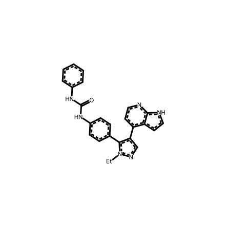 CCn1ncc(-c2ccnc3[nH]ccc23)c1-c1ccc(NC(=O)Nc2ccccc2)cc1